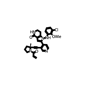 C=CC(=O)N1CCC[C@]1(C)C#Cc1cnccc1-c1cc2c(n1Nc1cccc(Cl)c1OC)CCNC2=O